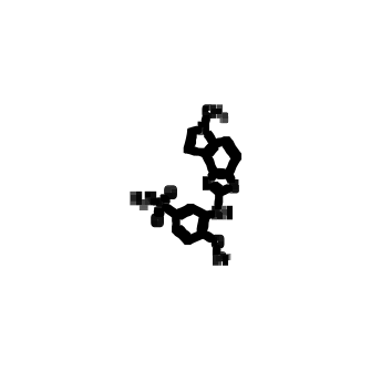 CC(C)Oc1ccc(S(N)(=O)=O)cc1Nc1nc2c(ccc3c2ccn3C)s1